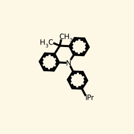 CC(C)c1ccc(N2c3ccccc3C(C)(C)c3ccccc32)cc1